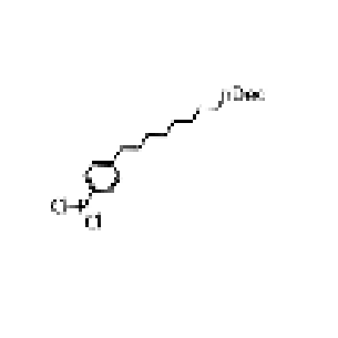 CCCCCCCCCCCCCCCC/C=C/c1ccc(P(Cl)Cl)cc1